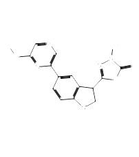 CC(C)Oc1cncc(-c2ccc3c(c2)C(c2nn(C(C)C)c(=O)o2)CN3)n1